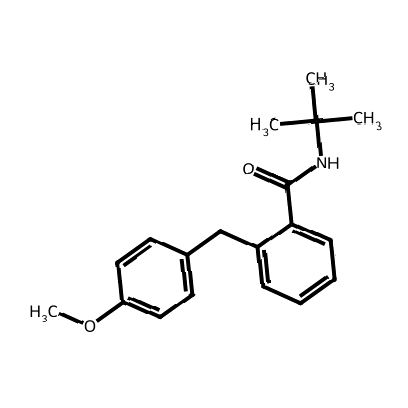 COc1ccc(Cc2ccccc2C(=O)NC(C)(C)C)cc1